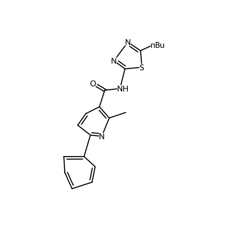 CCCCc1nnc(NC(=O)c2ccc(-c3ccccc3)nc2C)s1